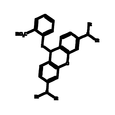 CCOC(=O)c1ccccc1SC1c2ccc(N(CC)CC)cc2Oc2cc(N(CC)CC)ccc21